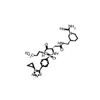 N=C(N)N1CCC[C@@H](CNC(=O)C[C@H](NS(=O)(=O)c2ccc(-c3nnnn3C3CC3)cc2)C(=O)NCCC(=O)O)C1